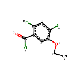 N#CCOc1cc(C(=O)Cl)c(F)cc1Br